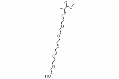 COC(=O)C(C)=COCCOCCOCCOCCOCCOCCO